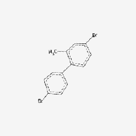 Cc1cc(Br)ccc1-c1ccc(Br)cc1